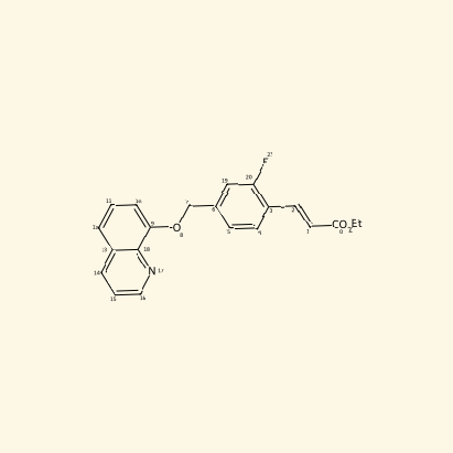 CCOC(=O)C=Cc1ccc(COc2cccc3cccnc23)cc1F